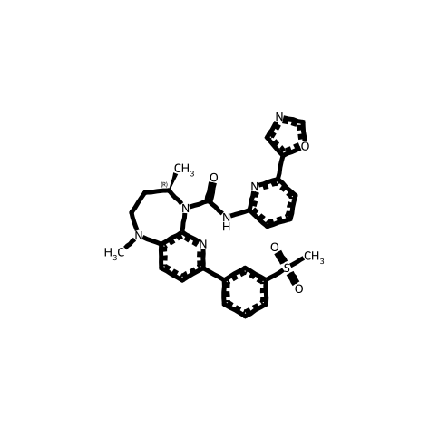 C[C@@H]1CCN(C)c2ccc(-c3cccc(S(C)(=O)=O)c3)nc2N1C(=O)Nc1cccc(-c2cnco2)n1